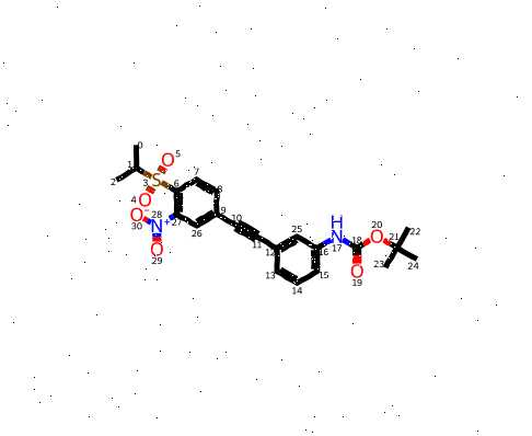 CC(C)S(=O)(=O)c1ccc(C#Cc2cccc(NC(=O)OC(C)(C)C)c2)cc1[N+](=O)[O-]